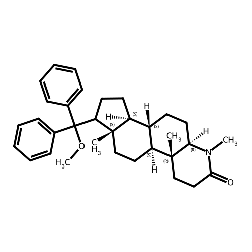 COC(c1ccccc1)(c1ccccc1)C1CC[C@H]2[C@@H]3CC[C@H]4N(C)C(=O)CC[C@]4(C)[C@H]3CC[C@]12C